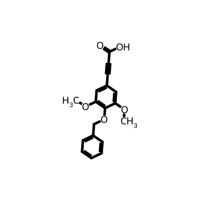 COc1cc(C#CC(=O)O)cc(OC)c1OCc1ccccc1